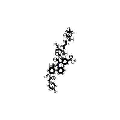 COC(=O)c1ccc2c(c1)N(C(=O)N[C@@H](CCCCNC(=O)OC(C)(C)C)C(=O)OC)C(=O)/C2=C(\Nc1ccc(N(C)C(=O)CN2CCN(C)CC2)cc1)c1ccccc1